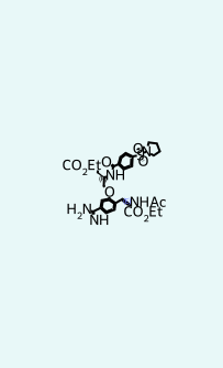 CCOC(=O)C[C@H](COc1cc(C(=N)N)ccc1/C=C(/NC(C)=O)C(=O)OCC)NC(=O)c1ccc(S(=O)(=O)N2CCCC2)cc1